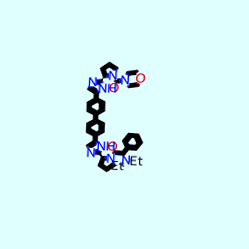 CCN(CC)[C@@H](C(=O)N1CCC[C@H]1c1ncc(-c2ccc(-c3ccc(-c4cnc([C@@H]5CCCN5C(=O)N5CCOCC5)[nH]4)cc3)cc2)[nH]1)c1ccccc1